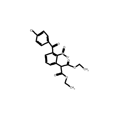 CCOC(=O)C(C(=O)OCC)c1cccc(C(=O)c2ccc(Cl)cc2)c1[N+](=O)[O-]